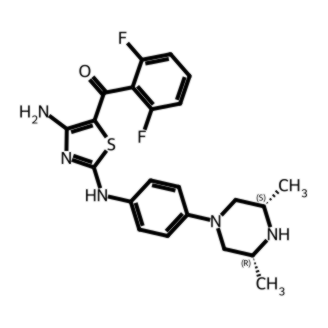 C[C@@H]1CN(c2ccc(Nc3nc(N)c(C(=O)c4c(F)cccc4F)s3)cc2)C[C@H](C)N1